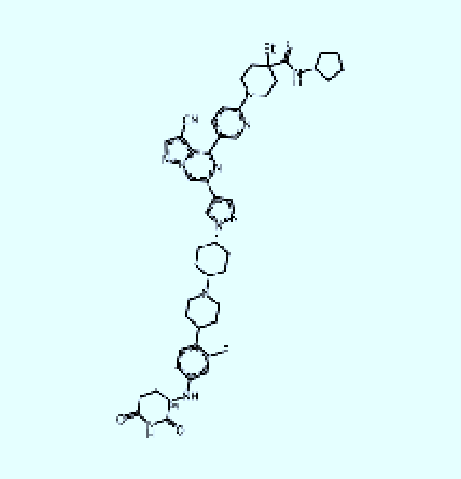 CCC1(C(=O)NC2CCCC2)CCN(c2ccc(-c3nc(-c4cnn([C@H]5CC[C@H](N6CCC(c7ccc(N[C@@H]8CCC(=O)NC8=O)cc7F)CC6)CC5)c4)cn4ncc(C#N)c34)cn2)CC1